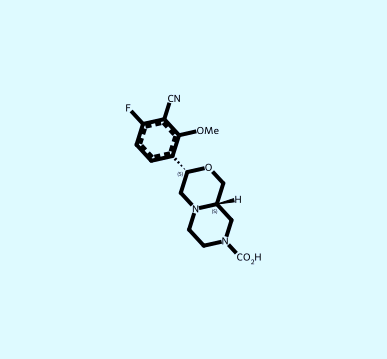 COc1c([C@H]2CN3CCN(C(=O)O)C[C@H]3CO2)ccc(F)c1C#N